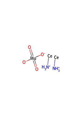 [NH3+][Ce].[NH3+][Ce].[O]=[Mo](=[O])([O-])[O-]